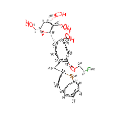 OC[C@@H]1C[C@H](O)C(O)[C@H](c2cc(CC3Cc4ccccc4S3)c(OCCF)cc2O)O1